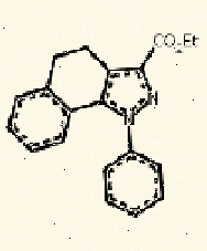 CCOC(=O)c1nn(-c2ccccc2)c2c1CCc1ccccc1-2